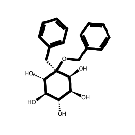 O[C@@H]1[C@@H](O)[C@H](O)[C@@](Cc2ccccc2)(OCc2ccccc2)[C@@H](O)[C@H]1O